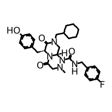 CN1CC(=O)N2[C@@H](Cc3ccc(O)cc3)C(=O)N(CC3CCCCC3)C[C@@H]2N1C(=O)NCc1ccc(F)cc1